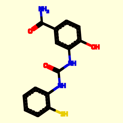 NC(=O)c1ccc(O)c(NC(=O)Nc2ccccc2S)c1